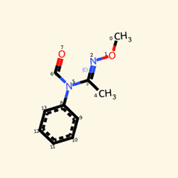 CO/N=C(\C)N([C]=O)c1ccccc1